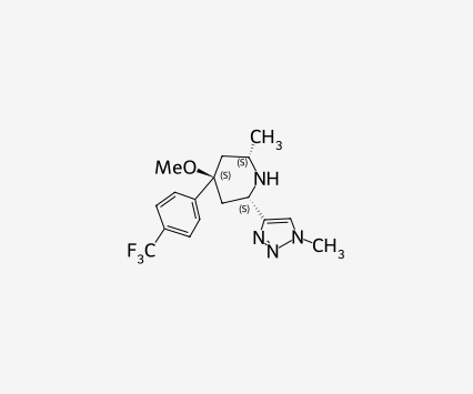 CO[C@]1(c2ccc(C(F)(F)F)cc2)C[C@@H](c2cn(C)nn2)N[C@@H](C)C1